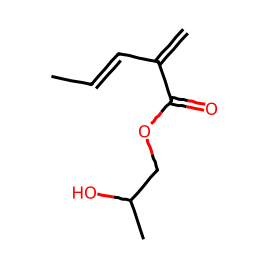 C=C(C=CC)C(=O)OCC(C)O